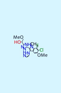 COCC(O)C1=NNC(c2c(-n3ccnc3)c3cc(OC)c(Cl)c(F)c3n2C)N1